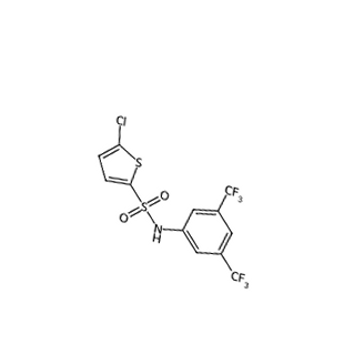 O=S(=O)(Nc1cc(C(F)(F)F)cc(C(F)(F)F)c1)c1ccc(Cl)s1